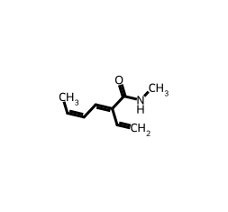 C=C/C(=C\C=C/C)C(=O)NC